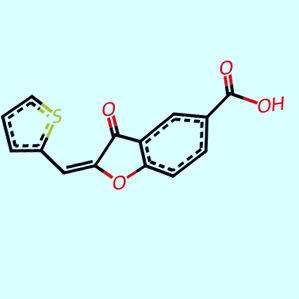 O=C(O)c1ccc2c(c1)C(=O)C(=Cc1cccs1)O2